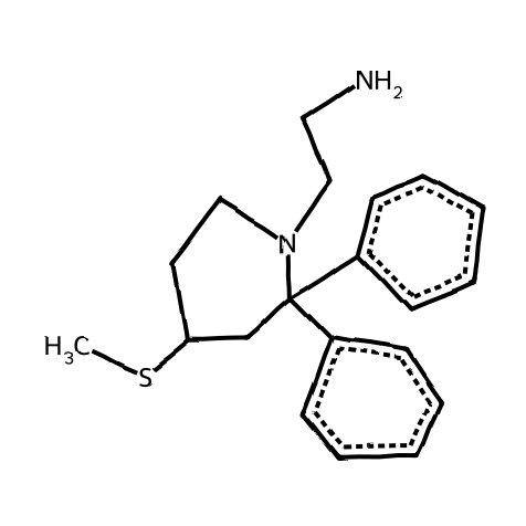 CSC1CCN(CCN)C(c2ccccc2)(c2ccccc2)C1